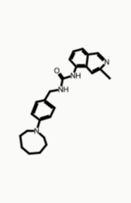 Cc1cc2c(NC(=O)NCc3ccc(N4CCCCCCC4)cc3)cccc2cn1